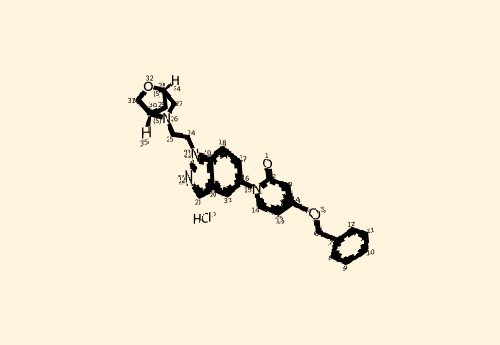 Cl.O=c1cc(OCc2ccccc2)ccn1-c1ccc2c(cnn2CCN2C[C@@H]3C[C@H]2CO3)c1